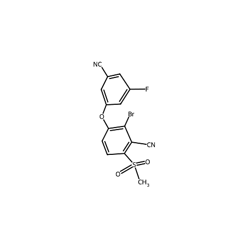 CS(=O)(=O)c1ccc(Oc2cc(F)cc(C#N)c2)c(Br)c1C#N